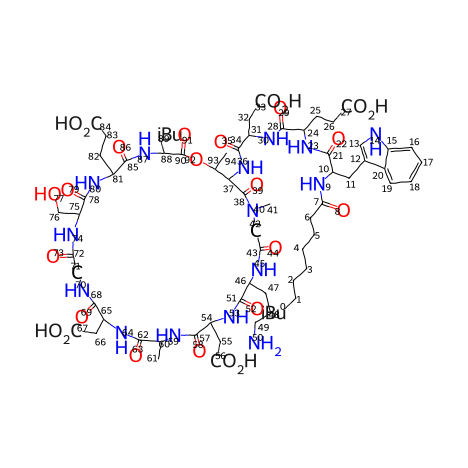 CCC(C)CCCCCCC(=O)NC(Cc1c[nH]c2ccccc12)C(=O)NC(CCC(=O)O)C(=O)NC(CC(=O)O)C(=O)NC1C(=O)N(C)CC(=O)NC(CCCN)C(=O)NC(CC(=O)O)C(=O)NC(C)C(=O)NC(CC(=O)O)C(=O)NCC(=O)NC(CO)C(=O)NC(CCC(=O)O)C(=O)NC(C(C)CC)C(=O)OC1C